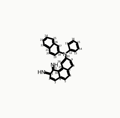 N=C1C=Cc2ccc3ccc(N(c4ccccc4)c4ccc5ccccc5c4)cc3c2C1=N